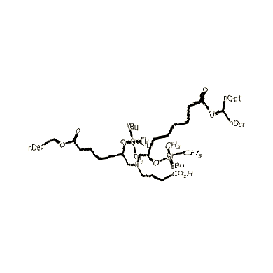 CCCCCCCCCCCOC(=O)CCCC(CN(CCCC(=O)O)CC(CCCCCC(=O)OC(CCCCCCCC)CCCCCCCC)O[Si](C)(C)C(C)(C)C)O[Si](C)(C)C(C)(C)C